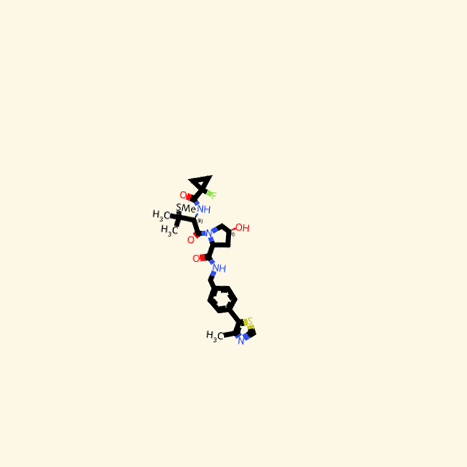 CSC(C)(C)[C@H](NC(=O)C1(F)CC1)C(=O)N1C[C@H](O)CC1C(=O)NCc1ccc(-c2scnc2C)cc1